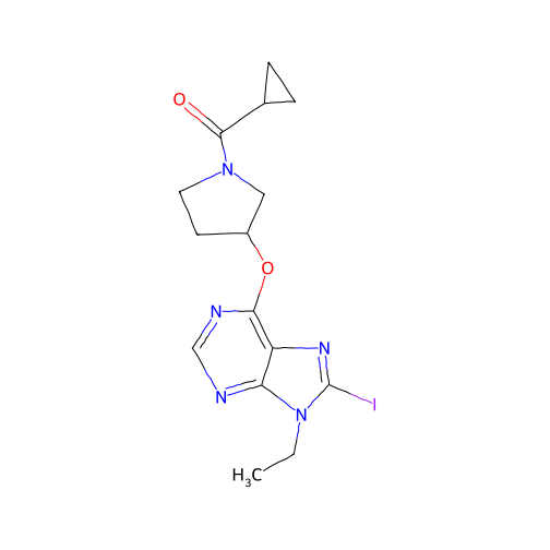 CCn1c(I)nc2c(OC3CCN(C(=O)C4CC4)C3)ncnc21